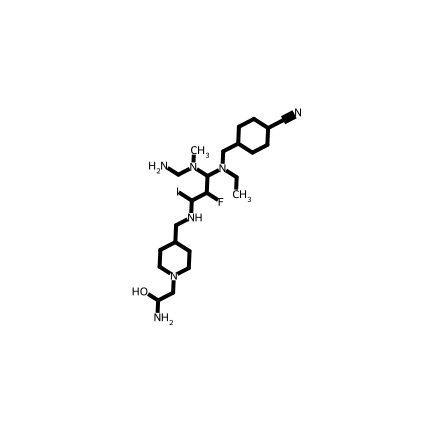 CCN(CC1CCC(C#N)CC1)C(C(F)C(I)NCC1CCN(CC(N)O)CC1)N(C)CN